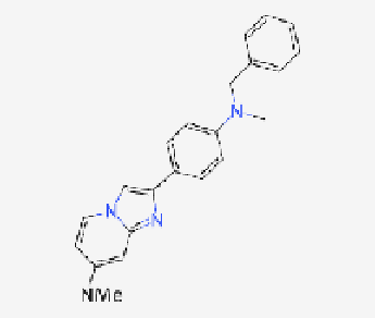 CNc1ccn2cc(-c3ccc(N(C)Cc4ccccc4)cc3)nc2c1